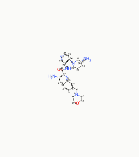 Nc1cc2ccc(CN3CCOCC3)cc2nc1C(=O)Nc1cnccc1N1CCC[C@H](N)C1